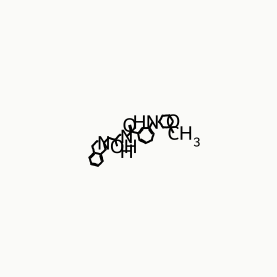 CC1CC(NC2=CCC=CC(C(=O)NCC(O)CN3CCc4ccccc4C3)=C2)CCO1